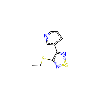 CCSc1nsnc1-c1cccnc1